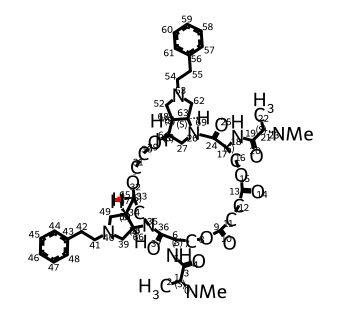 CN[C@@H](C)C(=O)N[C@H]1COC(=O)CCC(=O)OC[C@H](NC(=O)[C@H](C)NC)C(=O)N2C[C@@H](OCCO[C@@H]3CN(C1=O)[C@@H]1CN(CCc4ccccc4)C[C@@H]13)[C@H]1CN(CCc3ccccc3)C[C@H]12